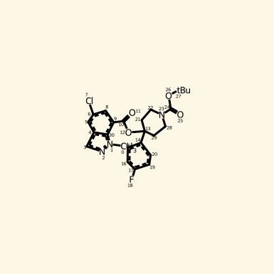 Cn1ncc2cc(Cl)cc(C(=O)OC3(c4ccc(F)cc4)CCN(C(=O)OC(C)(C)C)CC3)c21